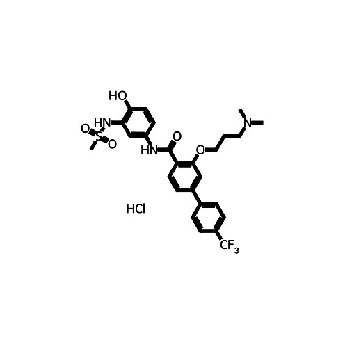 CN(C)CCCOc1cc(-c2ccc(C(F)(F)F)cc2)ccc1C(=O)Nc1ccc(O)c(NS(C)(=O)=O)c1.Cl